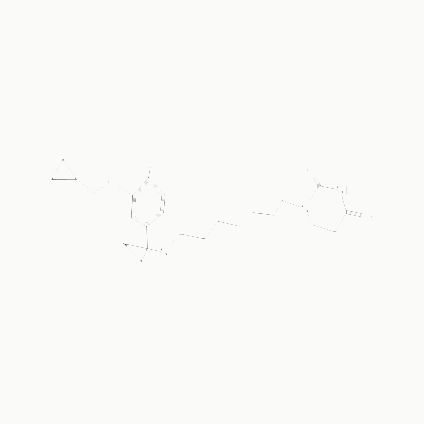 O=C1CCN(CCCCCCCNC2(c3ccc(F)c(OCC4CC4)c3)CC2)C(=O)N1